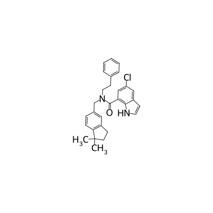 CC1(C)CCc2cc(CN(CCc3ccccc3)C(=O)c3cc(Cl)cc4cc[nH]c34)ccc21